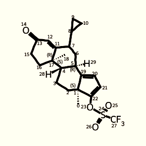 C[C@]12CC[C@H]3[C@@H](CC(C4CC4)C4=CC(=O)CC[C@@]43C)C1=CC=C2OS(=O)(=O)C(F)(F)F